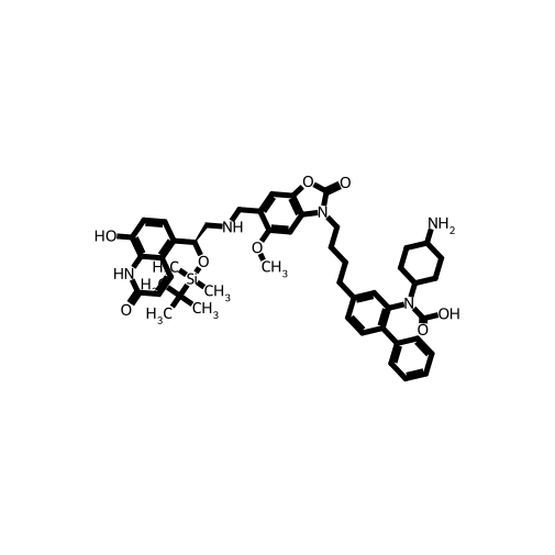 COc1cc2c(cc1CNC[C@@H](O[Si](C)(C)C(C)(C)C)c1ccc(O)c3[nH]c(=O)ccc13)oc(=O)n2CCCCc1ccc(-c2ccccc2)c(N(C(=O)O)C2CCC(N)CC2)c1